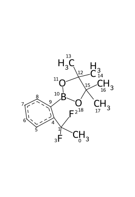 CC(F)(F)c1ccccc1B1OC(C)(C)C(C)(C)O1